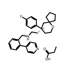 CCC(=O)O.Fc1ccc([C@]2(CCNCc3ccccc3-c3ccncc3)CCOC3(CCCC3)C2)cc1